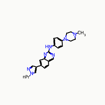 CCCn1cc(-c2ccc3cnc(Nc4ccc(N5CCN(C)CC5)cc4)nc3c2)cn1